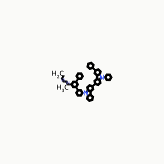 C=C/C=C\C=C(/C)c1cc(-c2ccccc2)cc(-c2cccc(-n3c4ccccc4c4cc(-c5ccc6c(c5)c5cc(-c7ccccc7)ccc5n6-c5ccccc5)ccc43)c2)c1